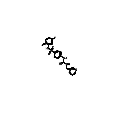 Cc1ccc(F)cc1NS(=O)(=O)c1ccc(NC(=O)NCc2cccnc2)cc1